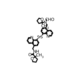 CC1(C(=O)NCc2ccc(SSc3ccc(CN(C=O)C4(C)CCCO4)c4cccnc34)c3ncccc23)CCCO1